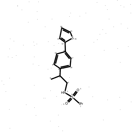 CC(CNS(=O)(=O)C(C)C)c1ccc(-c2cccs2)cc1